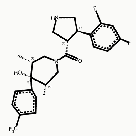 C[C@@H]1CN(C(=O)[C@@H]2CNC[C@H]2c2ccc(F)cc2F)C[C@H](C)[C@@]1(O)c1ccc(C(F)(F)F)cc1